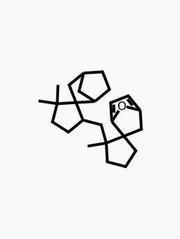 CC1(C)CCC(CC2(C)CCCC23Cc2ccc3o2)C12CC1CCC2C1